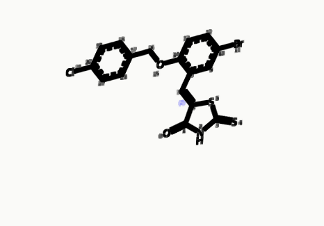 O=C1NC(=S)S/C1=C\c1cc(Br)ccc1OCc1ccc(Cl)cc1